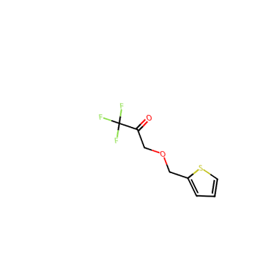 O=C(COCc1cccs1)C(F)(F)F